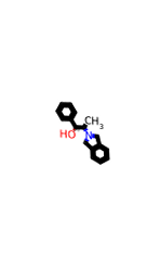 CC([C@@H](O)c1ccccc1)N1Cc2ccccc2C1